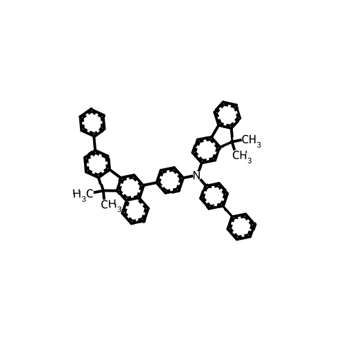 CC1(C)c2ccccc2-c2ccc(N(c3ccc(-c4ccccc4)cc3)c3ccc(-c4cc5c(c6ccccc46)C(C)(C)c4ccc(-c6ccccc6)cc4-5)cc3)cc21